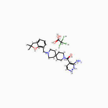 CC1(C)Cc2cccc(CN3CCC4(CC3)CCN(C(=O)c3ccnnc3N)CC4)c2O1.O=C(O)C(F)(F)F